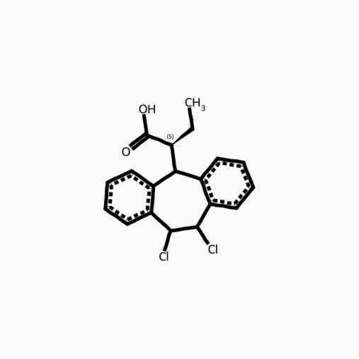 CC[C@H](C(=O)O)C1c2ccccc2C(Cl)C(Cl)c2ccccc21